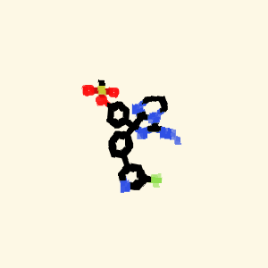 CS(=O)(=O)Oc1ccc(C2(c3cccc(-c4cncc(F)c4)c3)N=C(N)N3CCCN=C32)cc1